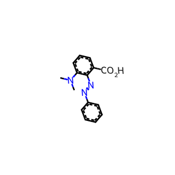 CN(C)c1cccc(C(=O)O)c1N=Nc1ccccc1